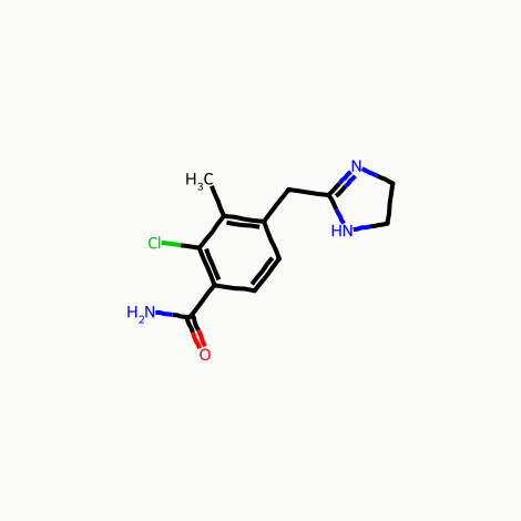 Cc1c(CC2=NCCN2)ccc(C(N)=O)c1Cl